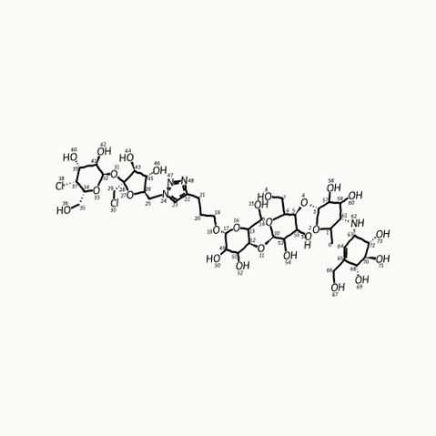 CC1O[C@H](O[C@@H]2C(CO)O[C@H](O[C@@H]3C(CO)O[C@@H](OCCCc4cn(C[C@H]5O[C@@](CCl)(O[C@H]6O[C@H](CO)[C@H](Cl)[C@H](O)[C@H]6O)[C@@H](O)[C@@H]5O)nn4)C(O)C3O)C(O)C2O)C(O)C(O)[C@@H]1N[C@H]1C=C(CO)[C@@H](O)[C@H](O)[C@H]1O